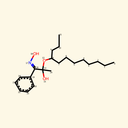 CCCCCCCCC(CCC)OC(C)(O)C(=NO)c1ccccc1